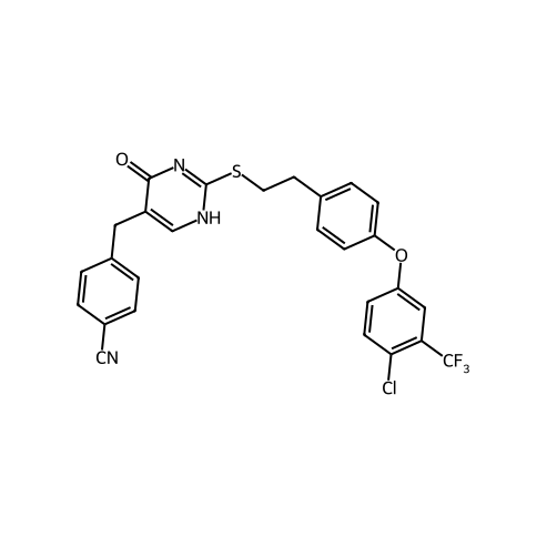 N#Cc1ccc(Cc2c[nH]c(SCCc3ccc(Oc4ccc(Cl)c(C(F)(F)F)c4)cc3)nc2=O)cc1